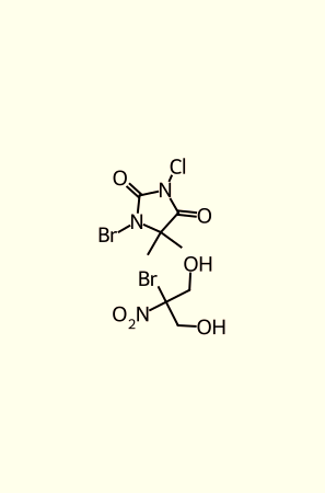 CC1(C)C(=O)N(Cl)C(=O)N1Br.O=[N+]([O-])C(Br)(CO)CO